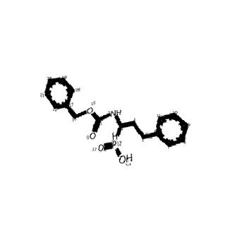 O=C(NC(CCc1ccccc1)[PH](=O)O)OCc1ccccc1